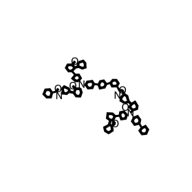 c1ccc(-c2ccc(N(c3ccc(-c4cccc5c4oc4ccccc45)cc3)c3cccc4c3oc3cc5nc(-c6cccc(-c7ccc(-c8ccc(N(c9ccc(-c%10cccc%11oc%12ccccc%12c%10%11)cc9)c9cccc%10c9oc9cc%11oc(-c%12ccccc%12)nc%11cc9%10)cc8)cc7)c6)oc5cc34)cc2)cc1